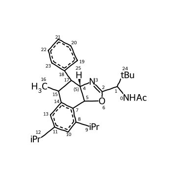 CC(=O)NC(C1=N[C@@H]2C(O1)c1c(C(C)C)cc(C(C)C)cc1C(C)C2c1ccccc1)C(C)(C)C